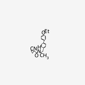 CCOc1ccc(-c2ccc(CC(C)NC(=O)C3(C#N)CC3)cc2)cc1